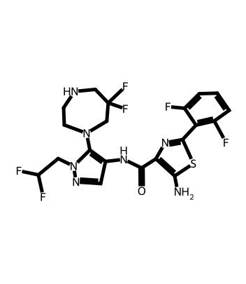 Nc1sc(-c2c(F)cccc2F)nc1C(=O)Nc1cnn(CC(F)F)c1N1CCNCC(F)(F)C1